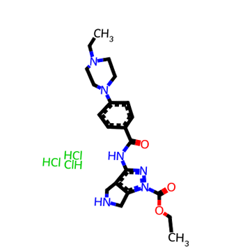 CCOC(=O)n1nc(NC(=O)c2ccc(N3CCN(CC)CC3)cc2)c2c1CNC2.Cl.Cl.Cl